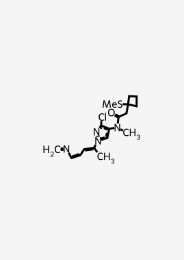 C=N/C=C\C=C(/C)n1cc(N(C)C(=O)CC2(SC)CCC2)c(Cl)n1